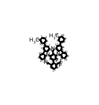 Cc1cccc(-c2ccc3c(c2)c2ccccc2n3-c2cc(-c3c(C#N)cccc3C(F)(F)F)cc(-n3c4ccccc4c4cc(-c5cccc(C)c5)ccc43)c2C#N)c1